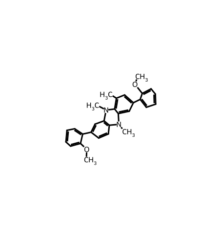 COc1ccccc1-c1ccc2c(c1)N(C)c1c(C)cc(-c3ccccc3OC)cc1N2C